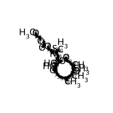 COCCOCC(=O)OCc1nc(C=CC2OC(=O)CCC(C)(C)C(=O)C(C)CC(C)CCCC3OC3(O)C2O)c(C)s1